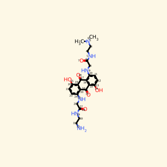 CN(C)CCNC(=O)CNc1ccc(O)c2c1C(=O)c1c(O)ccc(NCC(=O)NCCN)c1C2=O